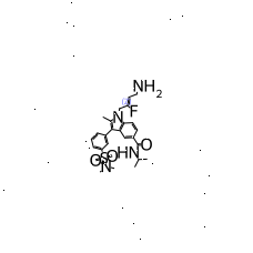 Cc1c(-c2cccc(S(=O)(=O)N(C)C)c2)c2cc(C(=O)NC(C)C)ccc2n1C/C(F)=C/CN